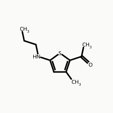 CCCNc1cc(C)c(C(C)=O)s1